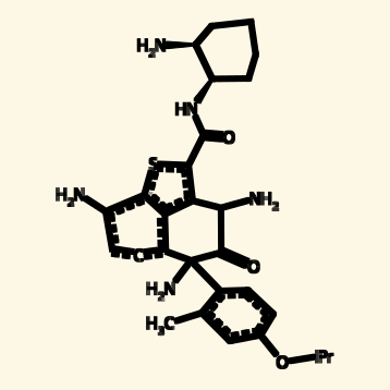 Cc1cc(OC(C)C)ccc1C1(N)C(=O)C(N)c2c(C(=O)N[C@@H]3CCCC[C@@H]3N)sc3c(N)ccc1c23